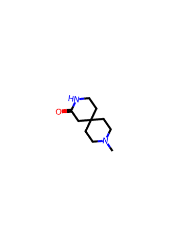 CN1CCC2(CCNC(=O)C2)CC1